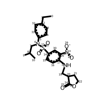 CCc1ccc(N(CC(C)C)S(=O)(=O)c2ccc(NCC3CCOC3=O)c([N+](=O)[O-])c2)cc1